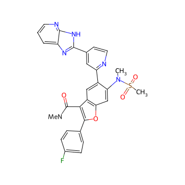 CNC(=O)c1c(-c2ccc(F)cc2)oc2cc(N(C)S(C)(=O)=O)c(-c3cc(-c4nc5cccnc5[nH]4)ccn3)cc12